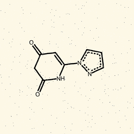 O=C1C=C(n2cccn2)NC(=O)C1